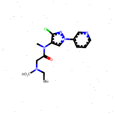 CN(C(=O)CN(CC(C)(C)C)C(=O)O)c1cn(-c2cccnc2)nc1Cl